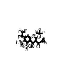 CNc1c(C(F)C(F)F)ccc(C(=O)C(C(=O)OC(C)(C)C)C(=O)C2CC2)c1S(C)(=O)=O